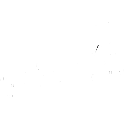 CCCN(CCC)CC(C)NC(=O)c1ccc([C@@H]2[C@@H](c3ccccc3)[C@@]2(F)C(=O)NO)cc1